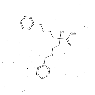 COC(=O)C(C#N)(CCOCc1ccccc1)CCOCc1ccccc1